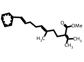 COC(=O)C(CC/C(C)=C/CC/C=C/c1ccccc1)=C(C)C